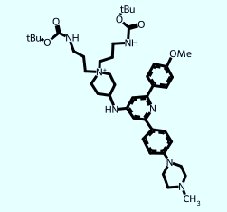 COc1ccc(-c2cc(NC3CC[N+](CCCNC(=O)OC(C)(C)C)(CCCNC(=O)OC(C)(C)C)CC3)cc(-c3ccc(N4CCN(C)CC4)cc3)n2)cc1